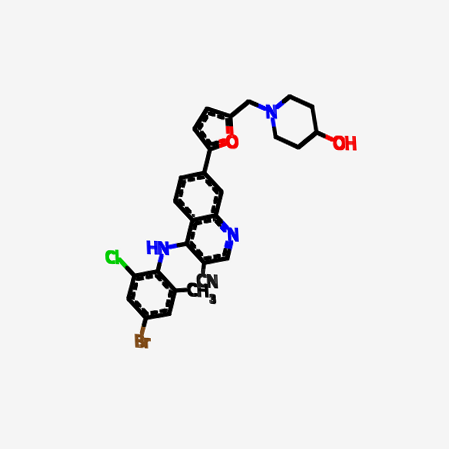 Cc1cc(Br)cc(Cl)c1Nc1c(C#N)cnc2cc(-c3ccc(CN4CCC(O)CC4)o3)ccc12